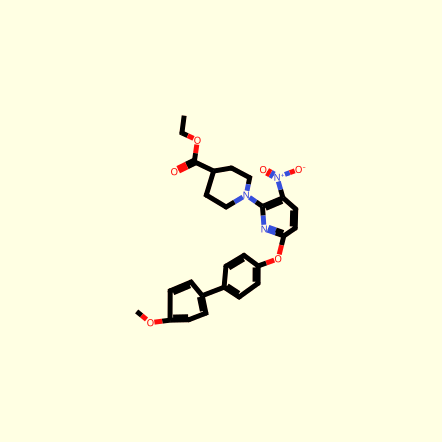 CCOC(=O)C1CCN(c2nc(Oc3ccc(-c4ccc(OC)cc4)cc3)ccc2[N+](=O)[O-])CC1